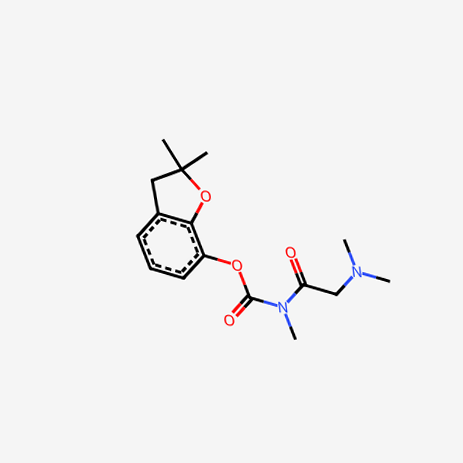 CN(C)CC(=O)N(C)C(=O)Oc1cccc2c1OC(C)(C)C2